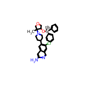 CC1(N2CCC(c3cc4cc(N)ncc4cc3Cl)CC2)COCC1O[Si](c1ccccc1)(c1ccccc1)C(C)(C)C